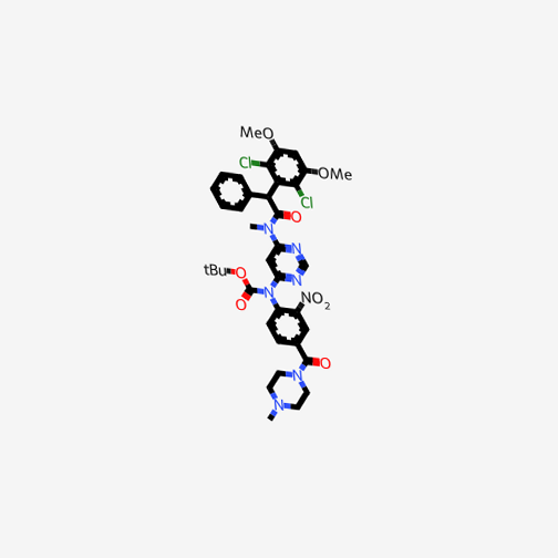 COc1cc(OC)c(Cl)c(C(C(=O)N(C)c2cc(N(C(=O)OC(C)(C)C)c3ccc(C(=O)N4CCN(C)CC4)cc3[N+](=O)[O-])ncn2)c2ccccc2)c1Cl